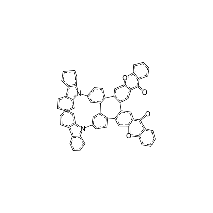 O=c1c2ccccc2oc2cc3c(cc12)-c1cc2c(=O)c4ccccc4oc2cc1-c1ccc(-n2c4ccccc4c4ccccc42)cc1-c1cc(-n2c4ccccc4c4ccccc42)ccc1-3